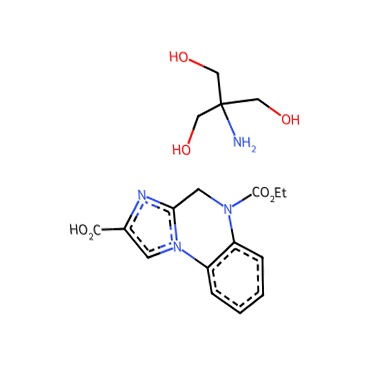 CCOC(=O)N1Cc2nc(C(=O)O)cn2-c2ccccc21.NC(CO)(CO)CO